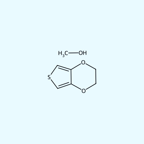 CO.c1scc2c1OCCO2